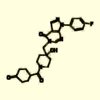 O=C1CCC(C(=O)N2CCC(O)(Cn3cnc4c(cnn4-c4ccc(F)cc4)c3=O)CC2)CC1